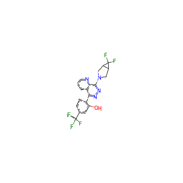 Oc1cc(C(F)(F)F)ccc1-c1nnc(N2CC3C(C2)C3(F)F)c2ncccc12